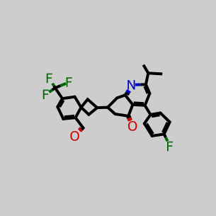 CC(C)c1cc(-c2ccc(F)cc2)c2c(n1)CC(C1CC3(CC(C(F)(F)F)=CC=C3C=O)C1)CC2=O